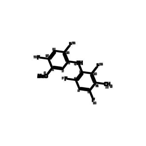 COc1cc(Bc2c(F)cc(F)c(C)c2F)c(F)cc1F